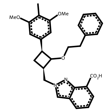 COc1cc([C@@H]2C[C@H](Cn3cc4cccc(C(=O)O)c4n3)C2OCCc2ccccc2)cc(OC)c1C